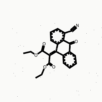 CCOC(=O)C(C(=O)OCC)=C1c2ccccc2C(=O)c2c(C#N)cccc21